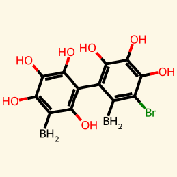 Bc1c(O)c(O)c(O)c(-c2c(B)c(Br)c(O)c(O)c2O)c1O